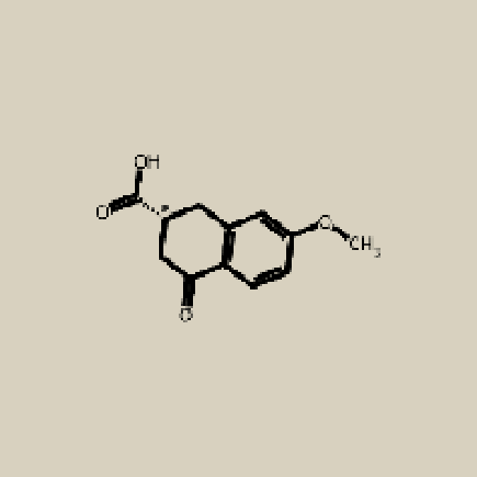 COc1ccc2c(c1)C[C@@H](C(=O)O)CC2=O